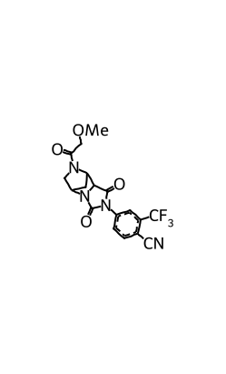 COCC(=O)N1CC2CC1C1C(=O)N(c3ccc(C#N)c(C(F)(F)F)c3)C(=O)N21